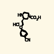 Cl.N#Cc1ccc(OCC[C@@H]2CN(C(=O)O)CCN2)cc1